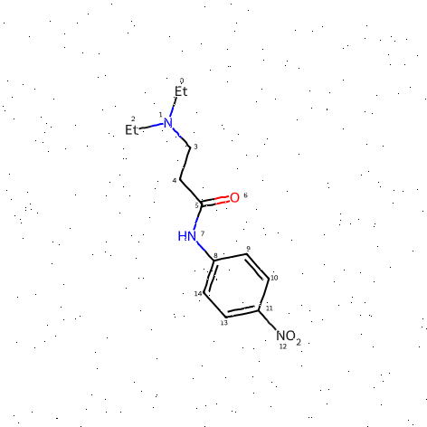 CCN(CC)CCC(=O)Nc1ccc([N+](=O)[O-])cc1